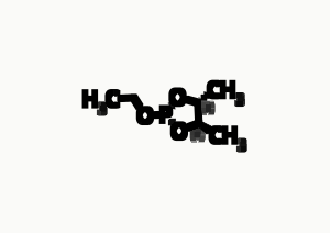 CCOP1O[C@H](C)[C@@H](C)O1